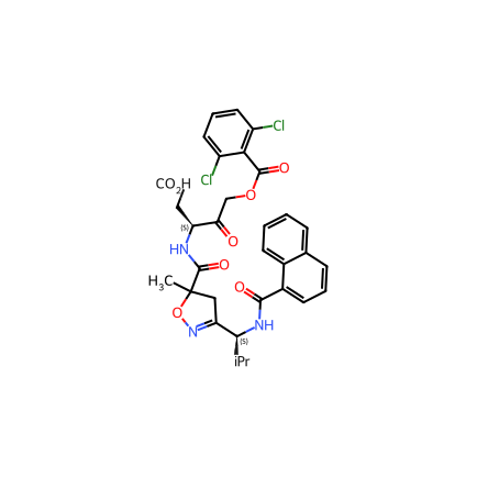 CC(C)[C@H](NC(=O)c1cccc2ccccc12)C1=NOC(C)(C(=O)N[C@@H](CC(=O)O)C(=O)COC(=O)c2c(Cl)cccc2Cl)C1